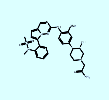 COc1cc([C@@H]2CCN(CC(N)=O)C[C@@H]2O)ccc1Nc1ncc2ccc(-c3ccccc3N(C)S(C)(=O)=O)n2n1